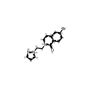 O=c1c2ccc(Br)cc2ccn1CCn1cccn1